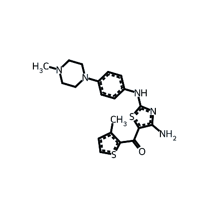 Cc1ccsc1C(=O)c1sc(Nc2ccc(N3CCN(C)CC3)cc2)nc1N